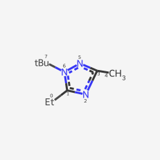 CCc1nc(C)nn1C(C)(C)C